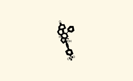 C[C@]12C[C@H](c3ccccc3)C3=C4CCC(=O)C=C4CC[C@H]3[C@@H]1CC[C@@]2(O)C#Cc1ccc(S(C)(=O)=O)cc1